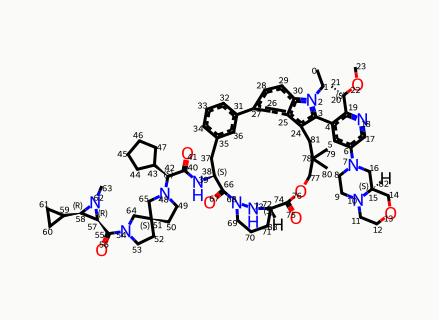 CCn1c(-c2cc(N3CCN4CCOC[C@@H]4C3)cnc2[C@H](C)OC)c2c3cc(ccc31)-c1cccc(c1)C[C@H](NC(=O)[C@H](C1CCCC1)N1CC[C@]3(CCN(C(=O)[C@H]4[C@@H](C5CC5)N4C)C3)C1)C(=O)N1CCC[C@H](N1)C(=O)OCC(C)(C)C2